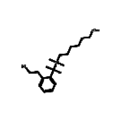 CCCCCCCCCCCCCCCC[N+](C)(C)C(C)(C)c1ccccc1CCO